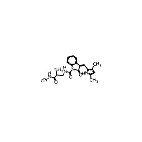 CCCNC(=O)C(N)CNC(=O)N1C(=O)/C(=C\c2[nH]c(C)cc2C)c2ccccc21